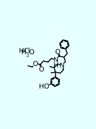 CCOC(=O)CCCNC(=O)C(Cc1ccccc1)CN1CCC(C)(c2cccc(O)c2)C(C)C1.Cl.O